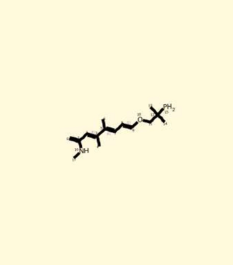 C=C(/C=C(C)/C(C)=C/C=C/OCC(C)(C)P)NC